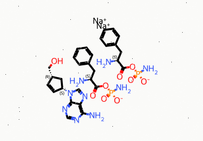 N[C@@H](Cc1ccccc1)C(=O)OP(N)(=O)[O-].N[C@@H](Cc1ccccc1)C(=O)OP(N)(=O)[O-].Nc1ncnc2c1ncn2[C@@H]1C=C[C@H](CO)C1.[Na+].[Na+]